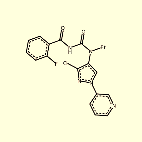 CCN(C(=O)NC(=O)c1ccccc1F)c1cn(-c2cccnc2)nc1Cl